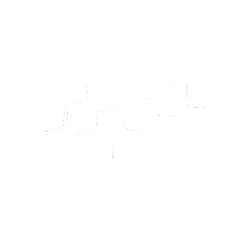 CCc1ccc(Cl)c(Cc2nc3c(C)cc(C(F)(F)F)cc3n2C)c1Cl